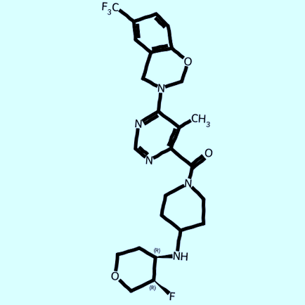 Cc1c(C(=O)N2CCC(N[C@@H]3CCOC[C@@H]3F)CC2)ncnc1N1COc2ccc(C(F)(F)F)cc2C1